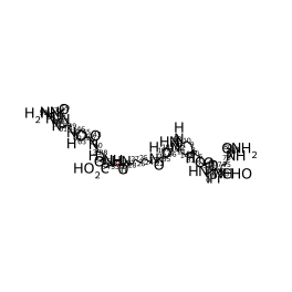 CC(C)[C@H](NC(=O)OC[C@@H]1C2CCC3=C(CC[C@@H]21)N(c1ccc(C(=O)NCCCCCNC(=O)CCC(NC(=O)CCCNC(=O)c2ccc(NCc4cnc5nc(N)[nH]c(=O)c5n4)cc2)C(=O)O)cc1)NN3)C(=O)N[C@H](C=O)CCCNC(N)=O